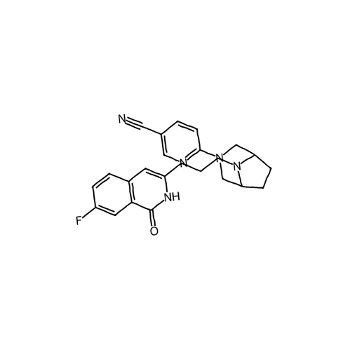 N#Cc1ccc(N2CC3CCC(C2)N3CCCc2cc3ccc(F)cc3c(=O)[nH]2)nc1